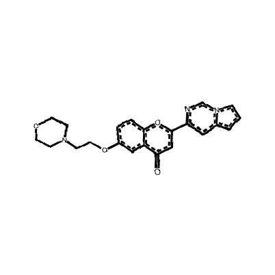 O=c1cc(-c2cc3cccn3cn2)oc2ccc(OCCN3CCOCC3)cc12